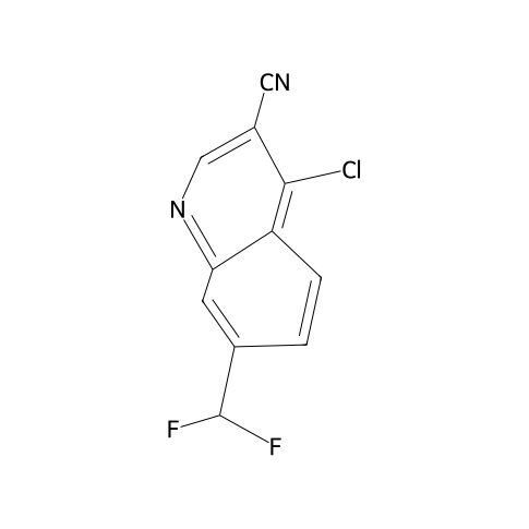 N#Cc1cnc2cc(C(F)F)ccc2c1Cl